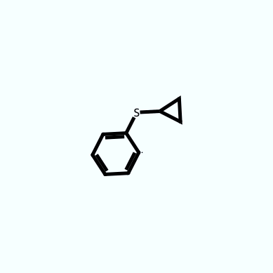 [c]1ccccc1SC1CC1